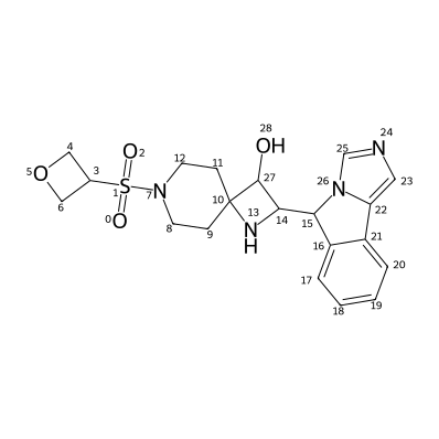 O=S(=O)(C1COC1)N1CCC2(CC1)NC(C1c3ccccc3-c3cncn31)C2O